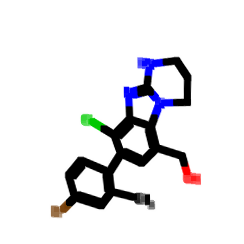 Cc1cc(Br)ccc1-c1cc(CO)c2c(nc3n2CCCN3)c1Cl